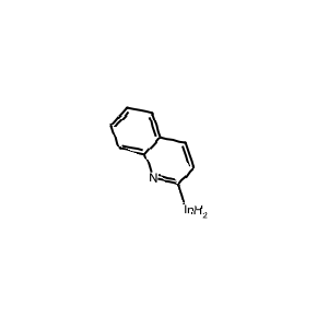 [InH2][c]1ccc2ccccc2n1